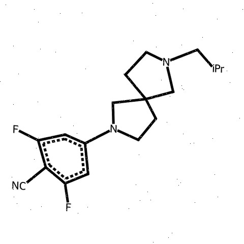 CC(C)CN1CCC2(CCN(c3cc(F)c(C#N)c(F)c3)C2)C1